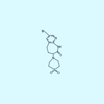 O=C1Nc2ncc(Br)cc2CCC1N1CCS(=O)(=O)CC1